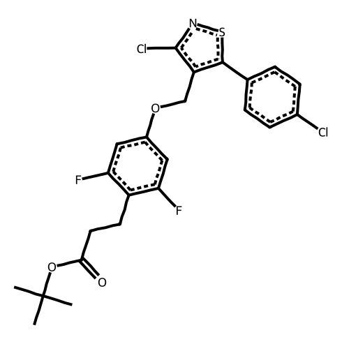 CC(C)(C)OC(=O)CCc1c(F)cc(OCc2c(Cl)nsc2-c2ccc(Cl)cc2)cc1F